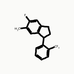 [CH2]c1cc2c(cc1F)CCC2c1ccccc1C(F)(F)F